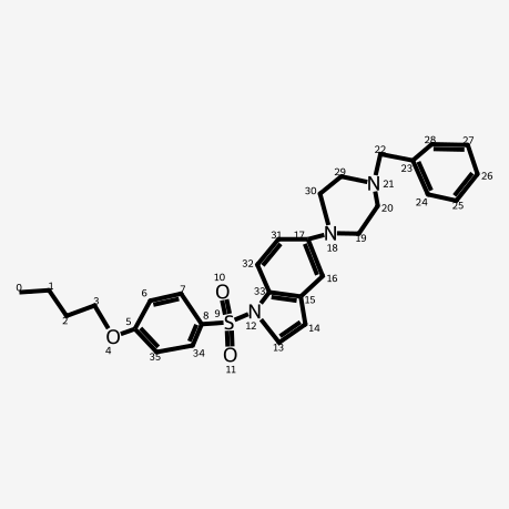 CCCCOc1ccc(S(=O)(=O)n2ccc3cc(N4CCN(Cc5ccccc5)CC4)ccc32)cc1